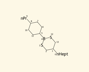 CCCCCCCC1CSB(C2CCC(CCC)CC2)SC1